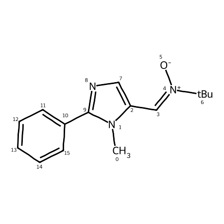 Cn1c(/C=[N+](\[O-])C(C)(C)C)cnc1-c1ccccc1